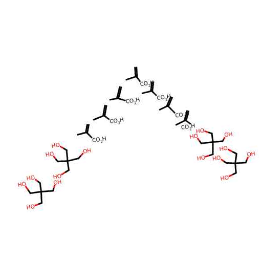 C=C(C)C(=O)O.C=C(C)C(=O)O.C=C(C)C(=O)O.C=C(C)C(=O)O.C=C(C)C(=O)O.C=C(C)C(=O)O.C=C(C)C(=O)O.OCC(CO)(CO)CO.OCC(CO)(CO)CO.OCC(CO)(CO)CO.OCC(CO)(CO)CO